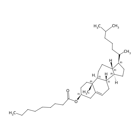 CCCCCCCCC(=O)O[C@H]1CC[C@@]2(C)C(=CC[C@H]3[C@@H]4CC[C@H](C(C)CCCC(C)C)[C@H]4CC[C@@H]32)C1